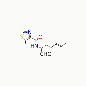 CC=CCCC(C=O)NC(=O)c1ncsc1C